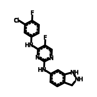 Fc1ccc(Nc2nc(Nc3ccc4c(c3)NNC4)ncc2F)cc1Cl